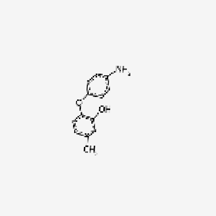 Cc1ccc(Oc2ccc(N)cc2)c(O)c1